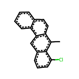 Cc1c2ccc3ccccc3c2cc2cccc(Cl)c12